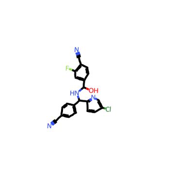 N#Cc1ccc(C(NC(O)c2ccc(C#N)c(F)c2)c2ccc(Cl)cn2)cc1